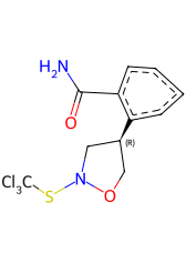 NC(=O)c1ccccc1[C@H]1CON(SC(Cl)(Cl)Cl)C1